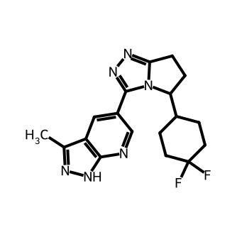 Cc1n[nH]c2ncc(-c3nnc4n3C(C3CCC(F)(F)CC3)CC4)cc12